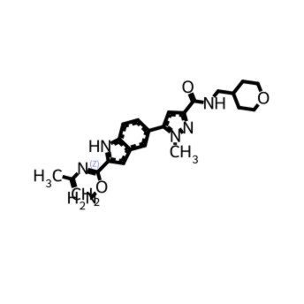 C=C(C)/N=C(\ON)c1cc2cc(-c3cc(C(=O)NCC4CCOCC4)nn3C)ccc2[nH]1